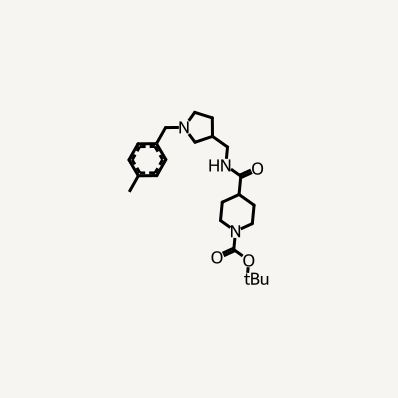 Cc1ccc(CN2CCC(CNC(=O)C3CCN(C(=O)OC(C)(C)C)CC3)C2)cc1